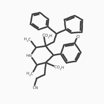 CC1NC(C)C(CC(c2ccccc2)c2ccccc2)(C(=O)O)C(c2cccc(Cl)c2)C1(CCC#N)C(=O)O